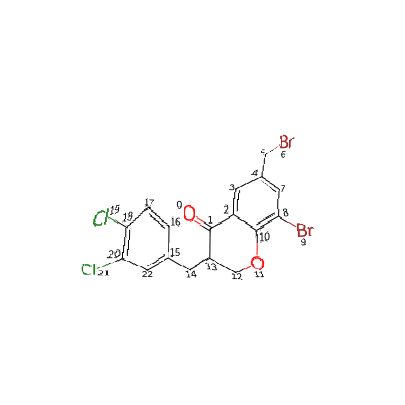 O=C1c2cc(CBr)cc(Br)c2OCC1Cc1ccc(Cl)c(Cl)c1